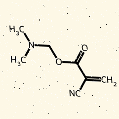 C=C(C#N)C(=O)OCN(C)C